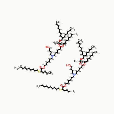 CCCCCCCCCCSC(CCCC)C(=O)OCCCCCCN(CCCCO)CCCCCC(OCCCCCCCC)O[Si](C)(C)OCC(CCCCCC)CCCCCCCC.CCCCCCCCCCSC(CCCC)C(=O)OCCCCCCN(CCCCO)CCCCCC(OCCCCCCCC)O[Si](C)(C)OCC(CCCCCC)CCCCCCCC